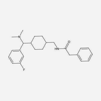 CN(C)C(c1cccc(F)c1)C1CCC(CNC(=O)Cc2ccccc2)CC1